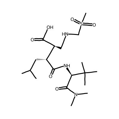 CC(C)C[C@@H](C(=O)N[C@H](C(=O)N(C)C)C(C)(C)C)[C@H](CNCS(C)(=O)=O)C(=O)O